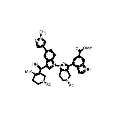 CNC1=C(C(=N)c2cn(-n3nc(-c4cc(C(=O)OC)cc5[nH]ccc45)c4c3CCN(C(C)=O)C4)c3ccc(-c4cnn(C)c4)cc23)CN(C(C)=O)CC1